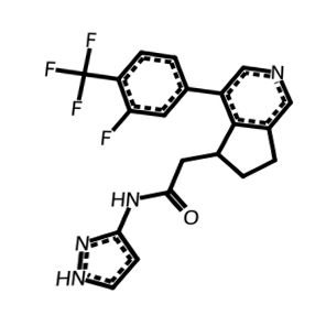 O=C(CC1CCc2cncc(-c3ccc(C(F)(F)F)c(F)c3)c21)Nc1cc[nH]n1